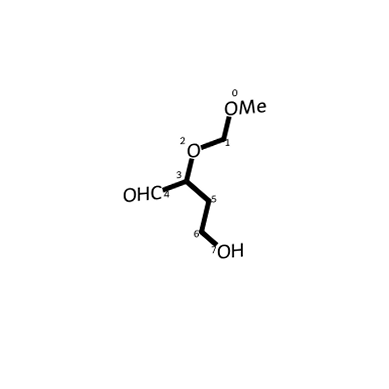 COCOC(C=O)CCO